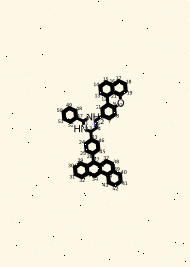 NC(NC(/C=C/c1ccc2c(c1)-c1cccc3cccc(c13)O2)c1ccc(-c2c3ccccc3cc3c2ccc2ccccc23)cc1)c1ccccc1